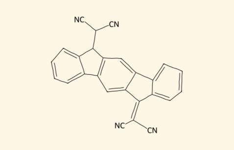 N#CC(C#N)=C1c2ccccc2-c2cc3c(cc21)-c1ccccc1C3C(C#N)C#N